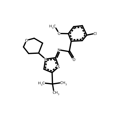 COc1ccc(Cl)cc1C(=O)N=c1sc(C(C)(C)C)cn1C1CCOCC1